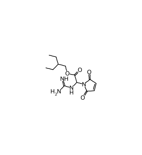 CCC(CC)COC(=O)C(NC(=N)N)N1C(=O)C=CC1=O